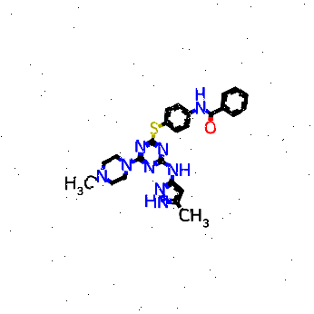 Cc1cc(Nc2nc(Sc3ccc(NC(=O)c4ccccc4)cc3)nc(N3CCN(C)CC3)n2)n[nH]1